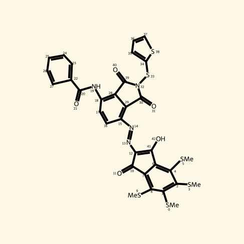 CSc1c(SC)c(SC)c2c(c1SC)C(=O)C(N=Nc1ccc(NC(=O)c3ccccc3)c3c1C(=O)N(Sc1cccs1)C3=O)=C2O